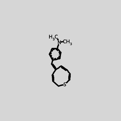 CN(C)c1ccc(C=C2C=CC=CSCC=C2)cc1